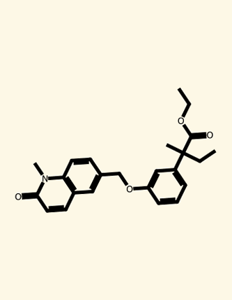 CCOC(=O)C(C)(CC)c1cccc(OCc2ccc3c(ccc(=O)n3C)c2)c1